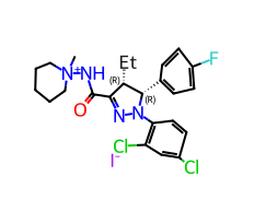 CC[C@H]1C(C(=O)N[N+]2(C)CCCCC2)=NN(c2ccc(Cl)cc2Cl)[C@H]1c1ccc(F)cc1.[I-]